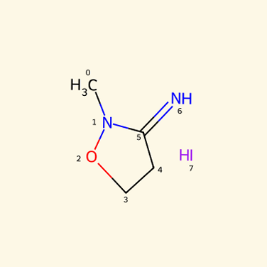 CN1OCCC1=N.I